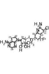 C[C@@]1(O)C(COc2cc(F)c3cc(Cl)c(N)nc3c2)=C[C@@H](n2ccc3c(N)ncnc32)C1O